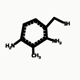 Cc1c(N)ccc(CS)c1N